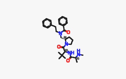 CN[C@@H](C)C(=O)N[C@H](C(=O)N1CCC[C@H]1CN(CCc1ccccc1)C(=O)c1ccccc1)C(C)(C)C